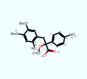 COc1cc(CC(O[C]=O)(C([O])=O)c2ccc([N+](=O)[O-])cc2)c([N+](=O)[O-])cc1OC